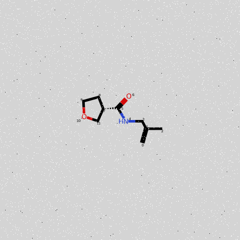 C=C(C)CNC(=O)[C@H]1CCOC1